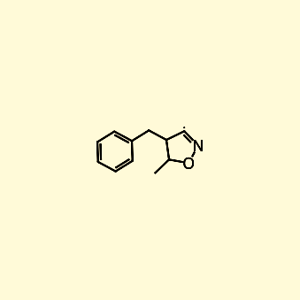 CC1ON=[C]C1Cc1ccccc1